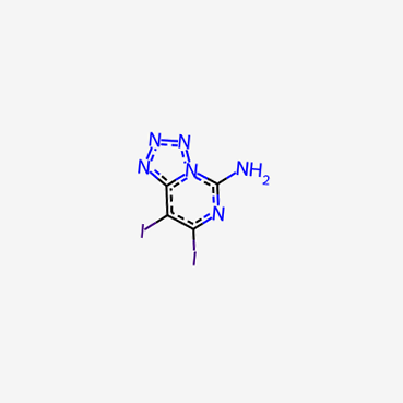 Nc1nc(I)c(I)c2nnnn12